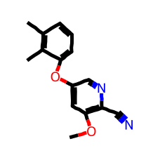 COc1cc(Oc2cccc(C)c2C)cnc1C#N